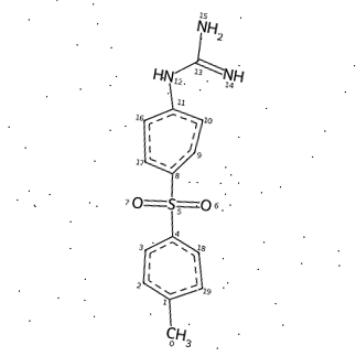 Cc1ccc(S(=O)(=O)c2ccc(NC(=N)N)cc2)cc1